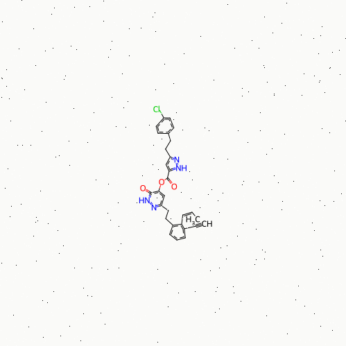 C#Cc1cccc(CCc2cc(OC(=O)c3cc(CCc4ccc(Cl)cc4)n[nH]3)c(=O)[nH]n2)c1/C=C\C